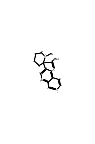 COC(=O)C1(c2cnc3cnccc3c2)CCCCN1C